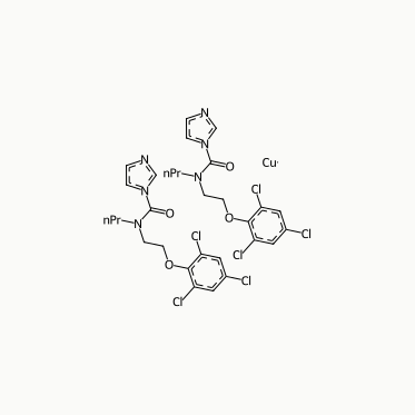 CCCN(CCOc1c(Cl)cc(Cl)cc1Cl)C(=O)n1ccnc1.CCCN(CCOc1c(Cl)cc(Cl)cc1Cl)C(=O)n1ccnc1.[Cu]